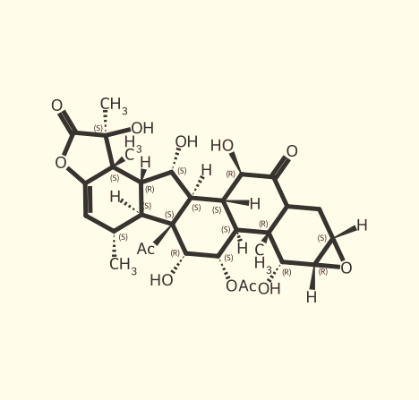 CC(=O)O[C@H]1[C@H]2[C@H]([C@@H]3[C@@H](O)[C@@H]4[C@H]([C@H](C)C=C5OC(=O)[C@@](C)(O)[C@@]54C)[C@@]3(C(C)=O)[C@H]1O)[C@@H](O)C(=O)C1C[C@@H]3O[C@@H]3[C@H](O)[C@@]12C